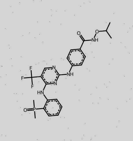 CC(C)ONC(=O)c1ccc(Nc2ncc(C(F)(F)F)c(Nc3ccccc3P(C)(C)=O)n2)cc1